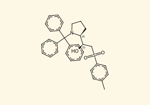 Cc1ccc(S(=O)(=O)C[C@@H](O)[C@@H]2CCCN2C(c2ccccc2)(c2ccccc2)c2ccccc2)cc1